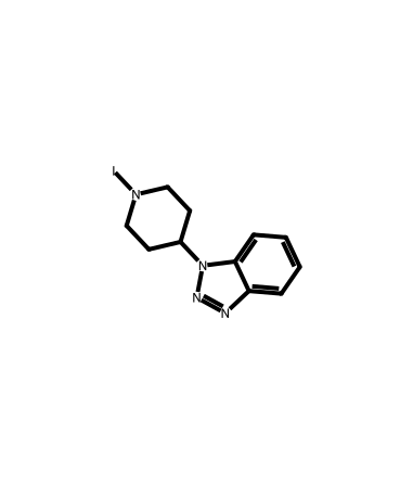 IN1CCC(n2nnc3ccccc32)CC1